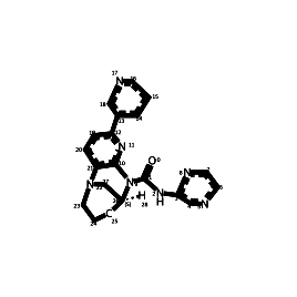 O=C(Nc1cnccn1)N1c2nc(-c3cccnc3)ccc2N2CCC[C@H]1C2